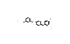 C=Cc1cccc(/C=N/c2cc/c(=C/c3ccc(N=C)cc3C)c(=C)c2)c1